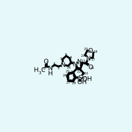 CC(=O)NCCN1CCCC(n2nc(C(=O)N3CCOCC3)c3c2-c2ccccc2S(O)(O)C3)C1